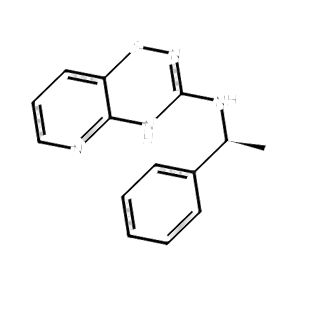 C[C@H](NC1=NSc2cccnc2N1)c1ccccc1